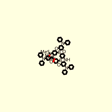 CSN1c2cc3c(cc2B2c4cc(C#N)ccc4Oc4cc(N(c5ccccc5)c5ccccc5)cc1c42)B1c2cc4c(cc2Oc2cc(N(c5ccccc5)c5ccccc5)cc(c21)O3)Nc1cc(N(c2ccccc2)c2ccccc2)cc2c1B4c1cc(C#N)ccc1O2